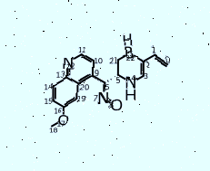 C=CC1=CN[C@H](C(N=O)c2ccnc3ccc(OC)cc23)CB1